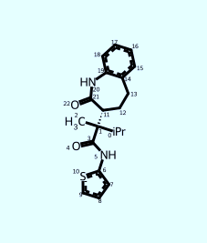 CC(C)C(C)(C(=O)Nc1cccs1)[C@H]1CCc2ccccc2NC1=O